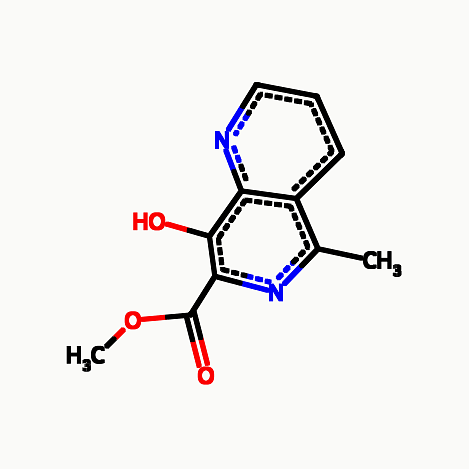 COC(=O)c1nc(C)c2cccnc2c1O